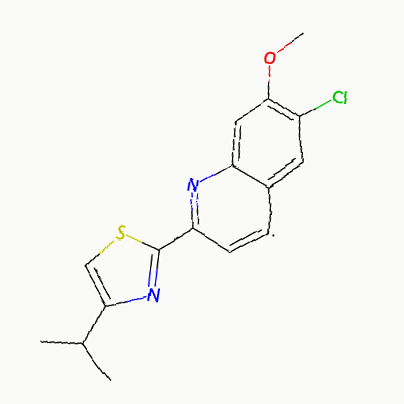 COc1cc2nc(-c3nc(C(C)C)cs3)c[c]c2cc1Cl